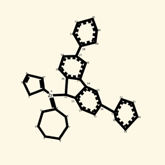 C1=CC[C]([Zr](=[C]2CCCCCC2)[CH]2c3ccc(-c4ccccc4)cc3-c3cc(-c4ccccc4)ccc32)=C1